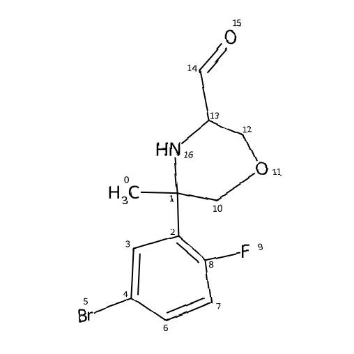 CC1(c2cc(Br)ccc2F)COCC(C=O)N1